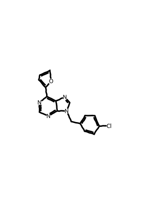 Clc1ccc(Cn2cnc3c(-c4ccco4)ncnc32)cc1